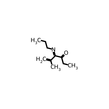 C=C(C)/C(=N\CCC)C(=O)CC